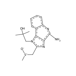 C[S+]([O-])Cc1nc2c(N)nc3ccccc3c2n1CC(C)(C)O